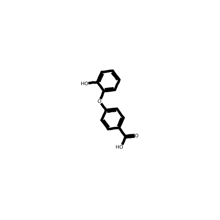 O=C(O)c1ccc(Oc2ccccc2O)cc1